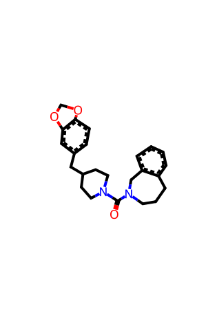 O=C(N1CCC(Cc2ccc3c(c2)OCO3)CC1)N1CCCc2ccccc2C1